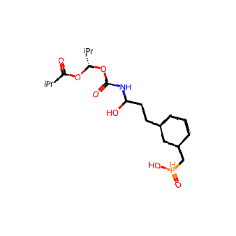 CC(C)C(=O)O[C@@H](OC(=O)NC(O)CCC1CCCC(C[PH](=O)O)C1)C(C)C